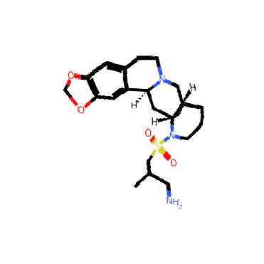 CC(CN)CS(=O)(=O)N1CCC[C@H]2CN3CCc4cc5c(cc4[C@@H]3C[C@H]21)OCO5